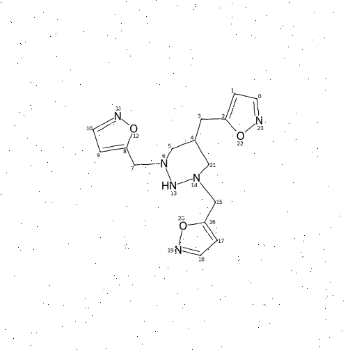 c1cc(CC2CN(Cc3ccno3)NN(Cc3ccno3)C2)on1